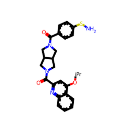 CC(C)Oc1cc(C(=O)N2CC3CN(C(=O)c4ccc(SN)cc4)CC3C2)nc2ccccc12